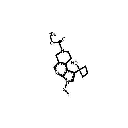 CC(C)(C)OC(=O)N1CCc2c(cnc3c2c(C2(O)CCC2)cn3SI)C1